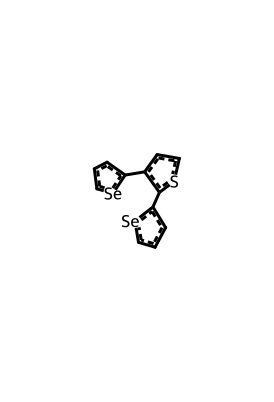 c1c[se]c(-c2ccsc2-c2ccc[se]2)c1